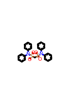 O=S(=O)(CS(=O)(=O)N(c1ccccc1)c1ccccc1)N(c1ccccc1)c1ccccc1